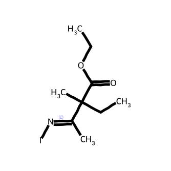 CCOC(=O)C(C)(CC)/C(C)=N/I